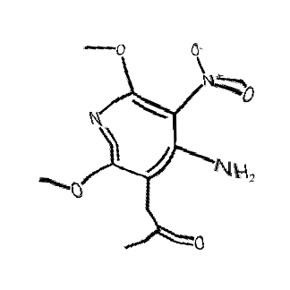 COc1nc(OC)c([N+](=O)[O-])c(N)c1C(C)=O